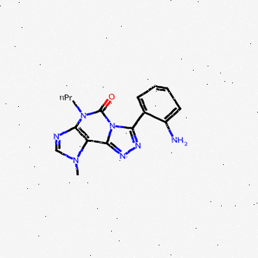 CCCn1c(=O)n2c(-c3ccccc3N)nnc2c2c1ncn2C